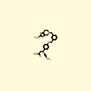 CC#C[C@@H](CC(=O)O)c1ccc(OCc2cccc(CN3CCc4nc(N)sc4C3)c2)cc1